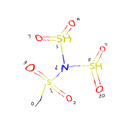 CS(=O)(=O)N([SH](=O)=O)[SH](=O)=O